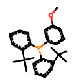 COc1cccc(P(c2ccccc2C(C)(C)C)c2ccccc2C(C)(C)C)c1